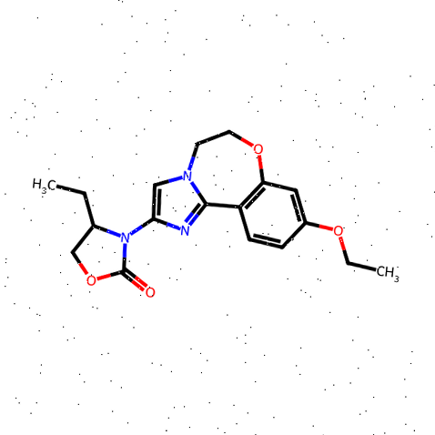 CCOc1ccc2c(c1)OCCn1cc(N3C(=O)OCC3CC)nc1-2